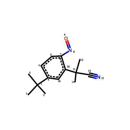 CC(C)(C)c1ccc(N=O)c(C(C)(C)C#N)c1